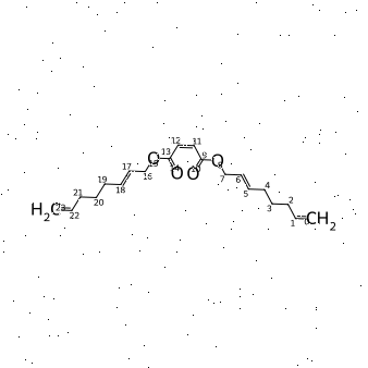 C=CCCC/C=C/COC(=O)/C=C\C(=O)OC/C=C/CCCC=C